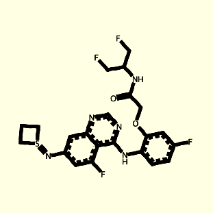 O=C(COc1cc(F)ccc1Nc1ncnc2cc(N=S3CCC3)cc(F)c12)NC(CF)CF